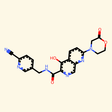 N#Cc1ccc(CNC(=O)c2ncc3nc(N4CCOC(=O)C4)ccc3c2O)cn1